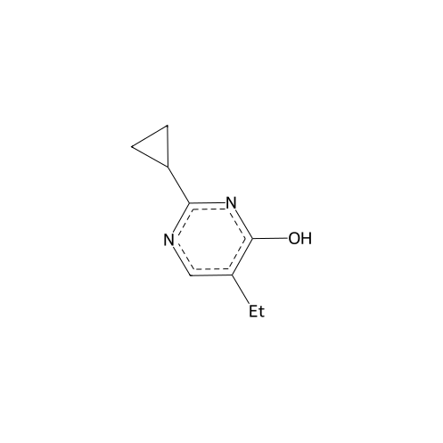 CCc1cnc(C2CC2)nc1O